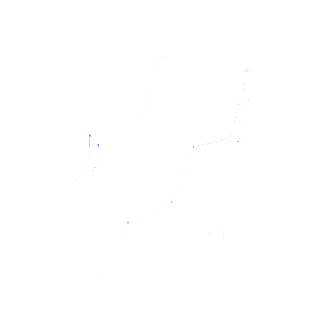 Cc1c(Br)cnc(Cl)c1N=O